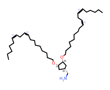 CCCCC/C=C\C/C=C\CCCCCCCCO[C@H]1C[C@@H](CN)C[C@H]1OCCCCCCCC/C=C\C/C=C\CCCCC